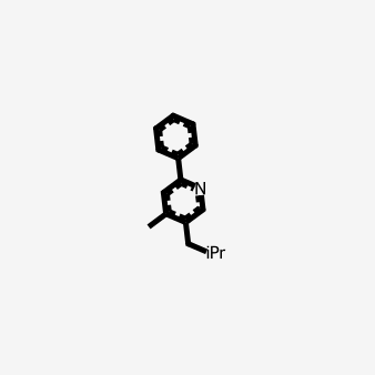 Cc1cc(-c2ccccc2)ncc1CC(C)C